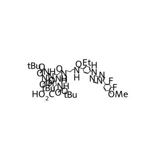 CCc1cc(Nc2nccn3c(-c4ccc(OC)c(F)c4F)cnc23)ccc1C(=O)NCCCNC(=O)C(CN/C(=N\C(=O)OC(C)(C)C)NC(=O)OC(C)(C)C)NC(=O)C(CCC(=O)O)NC(=O)OC(C)(C)C